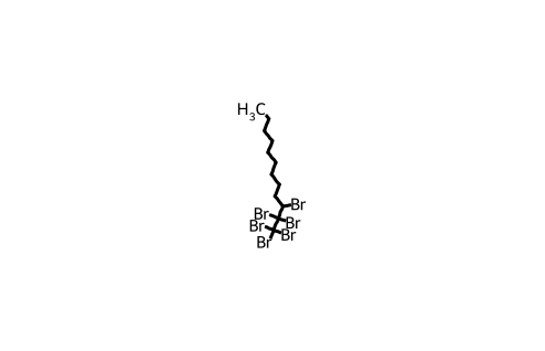 CCCCCCCCCC(Br)C(Br)(Br)C(Br)(Br)Br